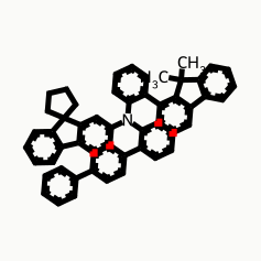 CC1(C)c2ccccc2-c2cccc(-c3ccccc3N(c3ccc4c(c3)C3(CCCC3)c3ccccc3-4)c3ccccc3-c3ccc(-c4ccccc4)cc3)c21